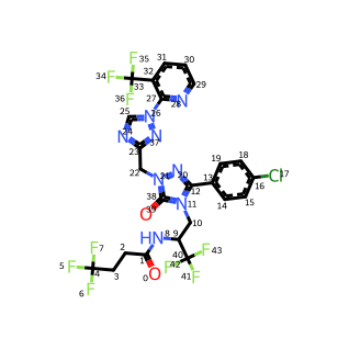 O=C(CCC(F)(F)F)NC(Cn1c(-c2ccc(Cl)cc2)nn(Cc2ncn(-c3ncccc3C(F)(F)F)n2)c1=O)C(F)(F)F